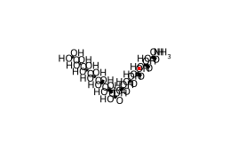 N.O=C(O)O.O=C(O)O.O=C(O)O.O=C(O)O.O=C(O)O.O=C(O)O.O=C(O)O.O=C(O)O.O=C(O)O.O=C(O)O.O=C(O)O.O=C(O)O